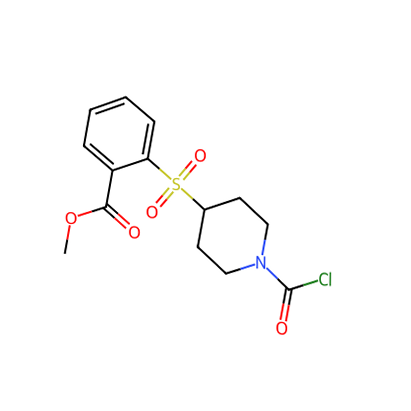 COC(=O)c1ccccc1S(=O)(=O)C1CCN(C(=O)Cl)CC1